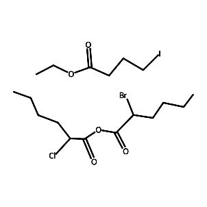 CCCCC(Cl)C(=O)OC(=O)C(Br)CCCC.CCOC(=O)CCCI